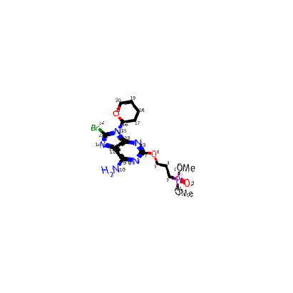 COP(=O)(CCCOc1nc(N)c2nc(Br)n(C3CCCCO3)c2n1)OC